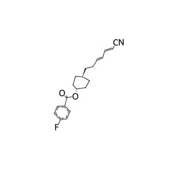 N#C/C=C/C=C/CC[C@H]1CC[C@H](OC(=O)c2ccc(F)cc2)CC1